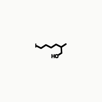 CC(CO)CCCCI